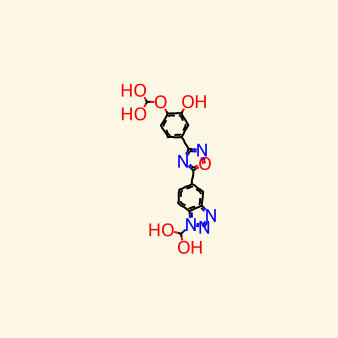 Oc1cc(-c2noc(-c3ccc4c(c3)nnn4C(O)O)n2)ccc1OC(O)O